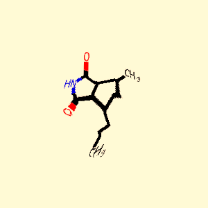 CCCC1CC(C)C2C(=O)NC(=O)C12